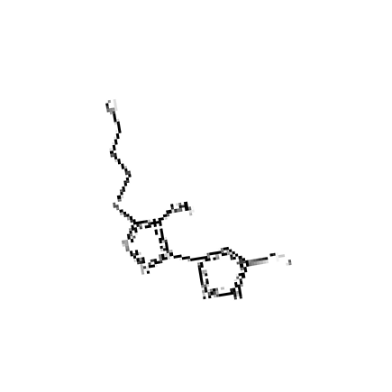 Cc1cc(-c2nnc(SCCCCl)n2C)on1